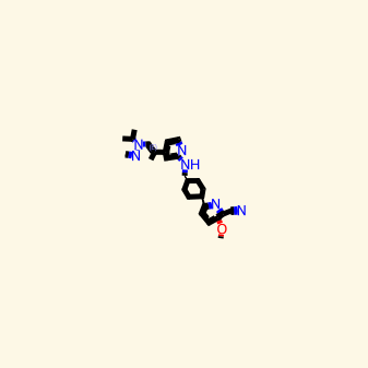 C=NN(/C=C(\C)c1ccnc(NC[C@H]2CC[C@H](c3ccc(OC)c(C#N)n3)CC2)c1)C(C)C